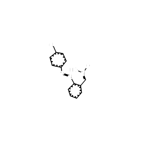 [O-]/[N+](O)=C/c1ccccc1/N=N/c1ccc(Cl)cc1